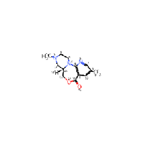 CN1CCN2c3ncc(C(F)(F)F)cc3C(=O)OC[C@@H]2C1